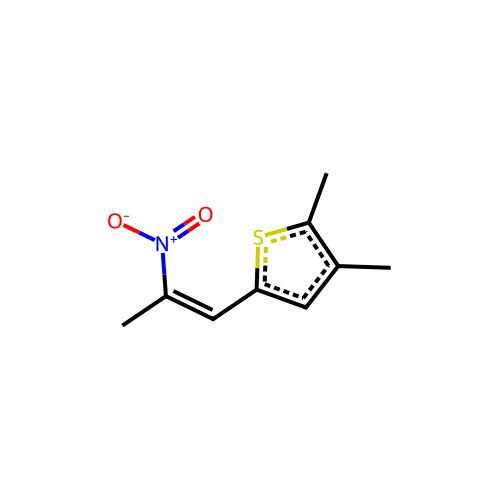 C/C(=C/c1cc(C)c(C)s1)[N+](=O)[O-]